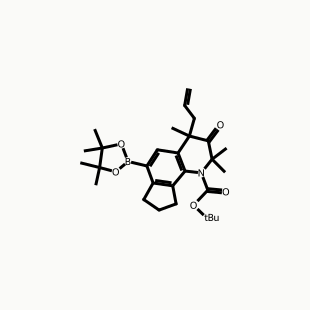 C=CCC1(C)C(=O)C(C)(C)N(C(=O)OC(C)(C)C)c2c1cc(B1OC(C)(C)C(C)(C)O1)c1c2CCC1